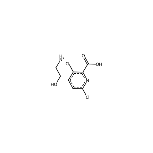 NCCO.O=C(O)c1nc(Cl)ccc1Cl